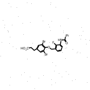 CC(C)C(=O)Nc1cccc(COc2c(Br)cc(CCC(=O)O)cc2Br)c1F